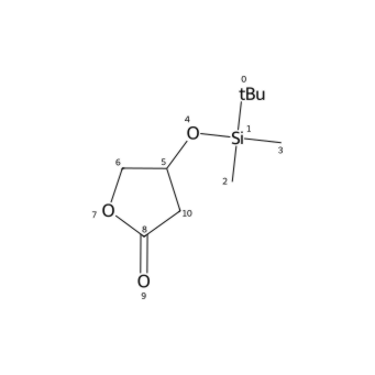 CC(C)(C)[Si](C)(C)OC1COC(=O)C1